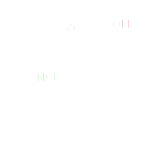 Cl.O=C(O)[SH]1CCCCC1